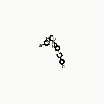 CCc1nc2cc(Br)ccn2c1C(=O)NCc1ccc(N2CCC(c3ccc(Cl)cc3)CC2)cc1